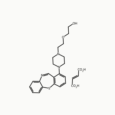 O=C(O)/C=C/C(=O)O.OCCOCCN1CCN(c2cccc3c2C=Nc2ccccc2S3)CC1